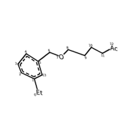 CCc1cccc(COCCCCC(C)=O)c1